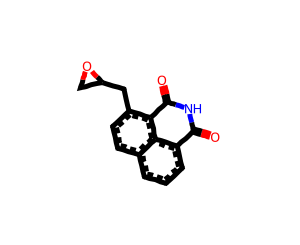 O=C1NC(=O)c2c(CC3CO3)ccc3cccc1c23